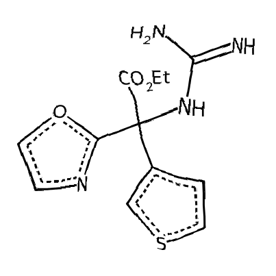 CCOC(=O)C(NC(=N)N)(c1ccsc1)c1ncco1